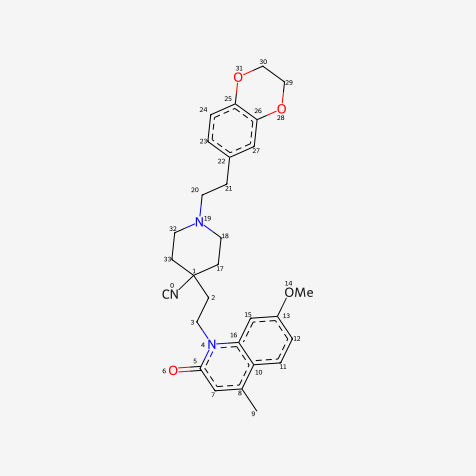 [C-]#[N+]C1(CCn2c(=O)cc(C)c3ccc(OC)cc32)CCN(CCc2ccc3c(c2)OCCO3)CC1